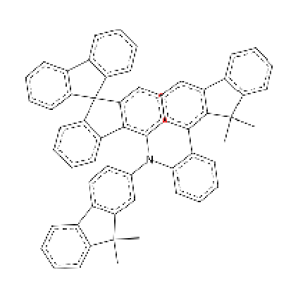 CC1(C)c2ccccc2-c2ccc(N(c3ccccc3-c3cccc4c3C(C)(C)c3ccccc3-4)c3cccc4c3-c3ccccc3C43c4ccccc4-c4ccccc43)cc21